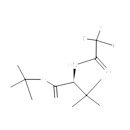 CC(C)(C)OC(=O)[C@@H](NC(=O)C(F)(F)F)C(C)(C)C